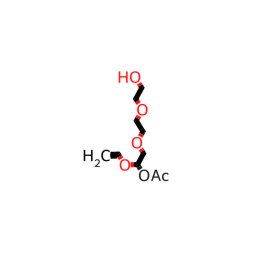 C=COC(COCCOCCO)OC(C)=O